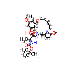 B[C@H](NC(=O)OC(C)(C)C)[C@H](O)CN1C[C@H]2CCC(=O)N2C/C=C\CCOc2cc(OC)ccc2S1(=O)=O